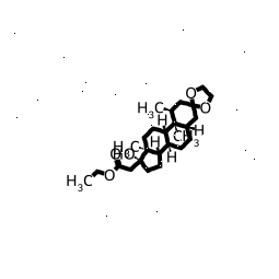 CCOC(=O)C[C@]1(O)CC[C@H]2[C@@H]3CC[C@H]4CC5(C[C@H](C)[C@]4(C)[C@H]3CC[C@@]21C)OCCO5